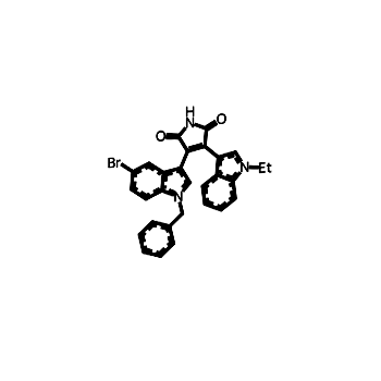 CCn1cc(C2=C(c3cn(Cc4ccccc4)c4ccc(Br)cc34)C(=O)NC2=O)c2ccccc21